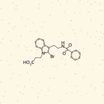 O=C(O)CCn1c(Br)c(CCNS(=O)(=O)c2ccccc2)c2ccccc21